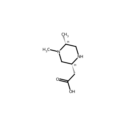 C[C@@H]1CN[C@H](CC(=O)O)CN1C